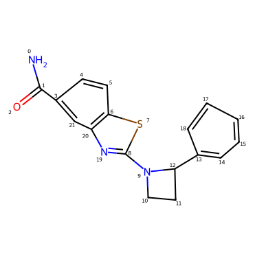 NC(=O)c1ccc2sc(N3CCC3c3ccccc3)nc2c1